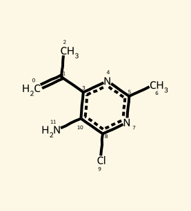 C=C(C)c1nc(C)nc(Cl)c1N